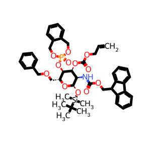 C=CCOC(=O)O[C@@H]1[C@@H](NC(=O)OCC2c3ccccc3-c3ccccc32)[C@H](O[Si](C)(C)C(C)(C)C)O[C@H](COCc2ccccc2)[C@H]1OP1(=O)OCc2ccccc2CO1